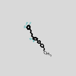 CCCC1CCC(c2ccc(-c3ccc(CCCCc4cc(F)c(F)c(F)c4)c(F)c3F)cc2)CC1